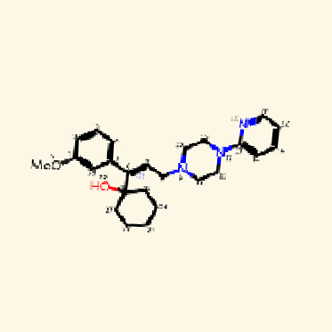 COc1cccc(/C(=C/CN2CCN(c3ccccn3)CC2)C2(O)CCCCC2)c1